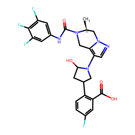 C[C@H]1Cn2ncc(N3CC(c4ccc(F)cc4C(=O)O)CC3O)c2CN1C(=O)Nc1cc(F)c(F)c(F)c1